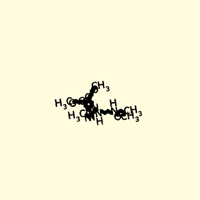 COCCOc1cc2nc(NCCCCNC(=O)CC(C)C)c3nnc(C)n3c2cc1OCCOC